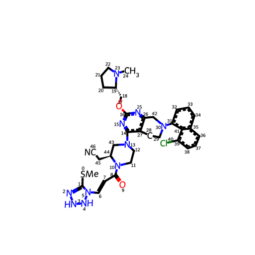 CSC1=NNNN1/C=C/C(=O)N1CCN(c2nc(OC[C@@H]3CCCN3C)nc3c2CCN(c2cccc4cccc(Cl)c24)C3)C[C@@H]1CC#N